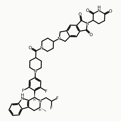 C[C@@H]1Cc2c([nH]c3ccccc23)[C@@H](c2c(F)cc(N3CCC(C(=O)N4CCC(N5Cc6cc7c(cc6C5)C(=O)N(C5CCC(=O)NC5=O)C7=O)CC4)CC3)cc2F)N1CC(F)F